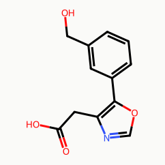 O=C(O)Cc1ncoc1-c1cccc(CO)c1